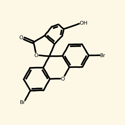 O=C1OC2(c3ccc(Br)cc3Oc3cc(Br)ccc32)c2cc(O)ccc21